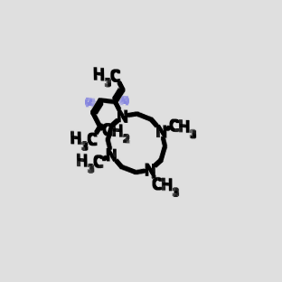 C=C(C)/C=C\C(=C/C)N1CCN(C)CCN(C)CCN(C)CC1